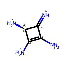 N=C1C(N)=C(N)[C@H]1N